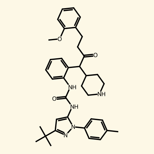 COc1ccccc1CCC(=O)C(c1ccccc1NC(=O)Nc1cc(C(C)(C)C)nn1-c1ccc(C)cc1)C1CCNCC1